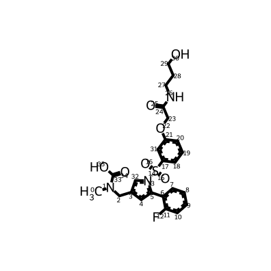 CN(Cc1cc(-c2ccccc2F)n(S(=O)(=O)c2cccc(OCC(=O)NCCCO)c2)c1)C(=O)O